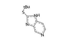 CC(C)(C)Sc1nc2cnccc2[nH]1